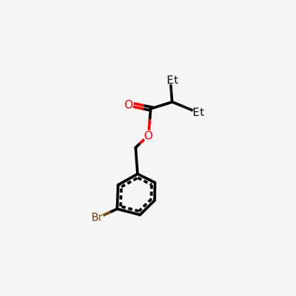 CCC(CC)C(=O)OCc1cccc(Br)c1